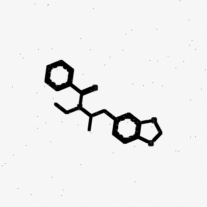 CCN(C(=O)c1ccccc1)C(C)Cc1ccc2c(c1)OCO2